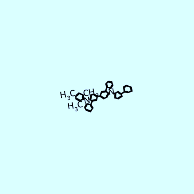 Cc1cc(C)c(-n2c3ccccc3c3cc(-c4ccc5c(c4)c4ccccc4n5-c4cccc(-c5ccccc5)c4)ccc32)c(C)c1